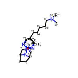 CCCC(C)N1CC2CCC(C1)N2c1ncc(CCCCCN(C)C(C)C)cn1